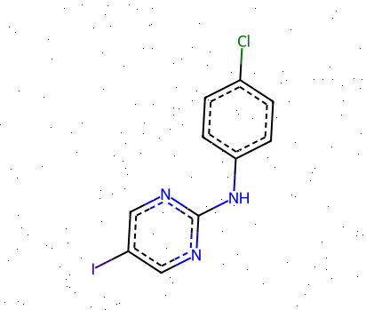 Clc1ccc(Nc2ncc(I)cn2)cc1